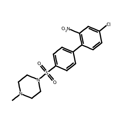 CN1CCN(S(=O)(=O)c2[c]cc(-c3ccc(Cl)cc3[N+](=O)[O-])cc2)CC1